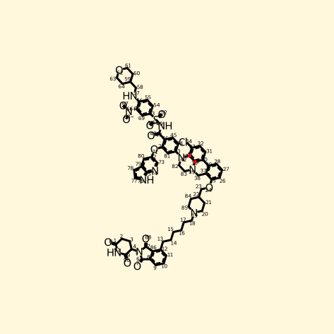 O=C1CCC(N2C(=O)c3cccc(CCCCCCN4CCC(COc5cccc(-c6ccc(Cl)cc6)c5CN5CCN(c6ccc(C(=O)NS(=O)(=O)c7ccc(NCC8CCOCC8)c([N+](=O)[O-])c7)c(Oc7cnc8[nH]ccc8c7)c6)CC5)CC4)c3C2=O)C(=O)N1